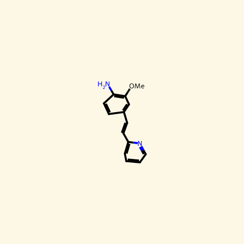 COc1cc(C=Cc2ccccn2)ccc1N